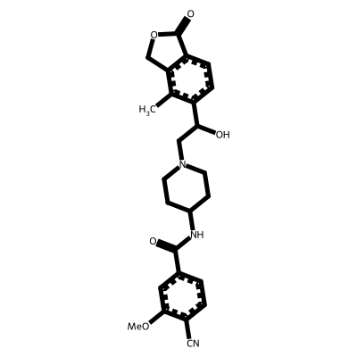 COc1cc(C(=O)NC2CCN(CC(O)c3ccc4c(c3C)COC4=O)CC2)ccc1C#N